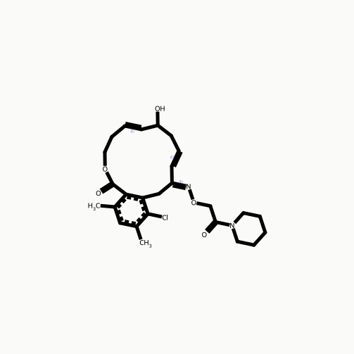 Cc1cc(C)c2c(c1Cl)CC(=N\OCC(=O)N1CCCCC1)/C=C/CC(O)/C=C/CCOC2=O